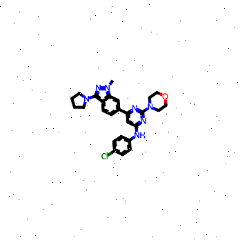 Cn1nc(N2CCCC2)c2ccc(-c3cc(Nc4ccc(Cl)cc4)nc(N4CCOCC4)n3)cc21